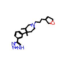 CC1CN(CCCC2CCOC2)CCC1(C)c1cccc(-c2c[nH]nn2)c1